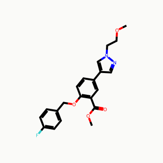 COCCn1cc(-c2ccc(OCc3ccc(F)cc3)c(C(=O)OC)c2)cn1